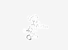 CC(C)(C)OC(=O)NC(CN1C[C@@H]2CC1C(=O)N2c1ccccc1C#N)C(=O)N1CCCC1C#N